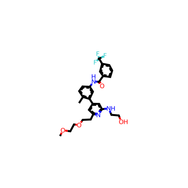 COCCOCCc1cc(-c2cc(NC(=O)c3cccc(C(F)(F)F)c3)ccc2C)cc(NCCO)n1